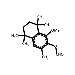 COc1c(OC=O)c(C)cc2c1C(C)(C)CCC2(C)C